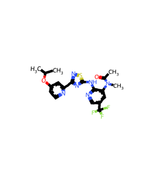 CC(=O)N(C)c1cc(C(F)(F)F)cnc1Nc1nc(-c2cc(OC(C)C)ccn2)ns1